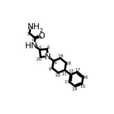 NCC(=O)NC1CN(C2CCC(c3ccccc3)CC2)C1